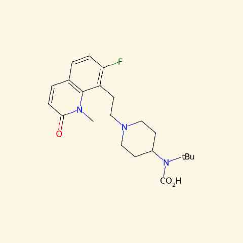 Cn1c(=O)ccc2ccc(F)c(CCN3CCC(N(C(=O)O)C(C)(C)C)CC3)c21